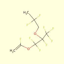 C=C(F)OC(F)(F)C(F)(OCC(C)(F)F)C(F)(F)F